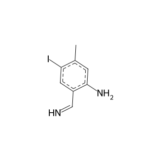 Cc1cc(N)c(C=N)cc1I